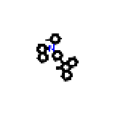 Cc1ccccc1N(c1ccc(-c2c(C)c3ccccc3c3ccccc23)cc1)c1cccc2ccccc12